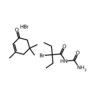 Br.CC1=CC(=O)CC(C)(C)C1.CCC(Br)(CC)C(=O)NC(N)=O